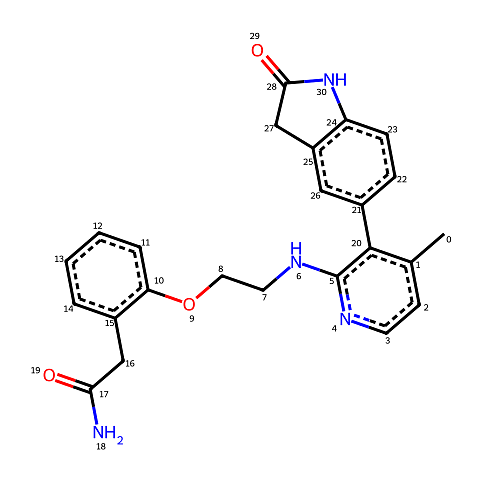 Cc1ccnc(NCCOc2ccccc2CC(N)=O)c1-c1ccc2c(c1)CC(=O)N2